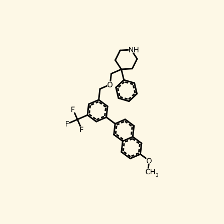 COc1ccc2cc(-c3cc(COCC4(c5ccccc5)CCNCC4)cc(C(F)(F)F)c3)ccc2c1